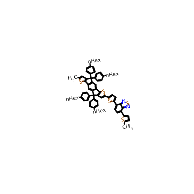 CCCCCCc1ccc(C2(c3ccc(CCCCCC)cc3)c3cc4c(cc3-c3sc(C)cc32)C(c2ccc(CCCCCC)cc2)(c2ccc(CCCCCC)cc2)c2cc(-c3ccc(-c5ccc(-c6ccc(C)s6)c6nsnc56)s3)sc2-4)cc1